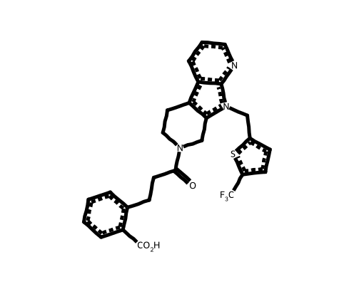 O=C(O)c1ccccc1CCC(=O)N1CCc2c(n(Cc3ccc(C(F)(F)F)s3)c3ncccc23)C1